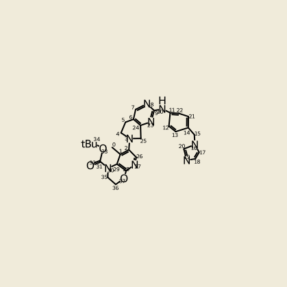 Cc1c(N2CCc3cnc(Nc4ccc(Cn5ccnc5)cc4)nc3C2)cnc2c1N(C(=O)OC(C)(C)C)CCO2